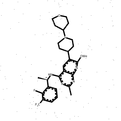 COc1nc2nc(C)nc(N[C@H](C)c3cccc(C(F)(F)F)c3F)c2cc1C1CCN(C2CCOCC2)CC1